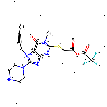 CC#CCn1c(N2CCNCC2)nc2nc(SCC(=O)OC(=O)C(F)(F)F)n(C)c(=O)c21